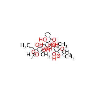 CCCC(=O)c1c(O)c(Cc2c(O)c(Cc3c(O)c(C)c(OC)c(C(=O)CCC)c3O)c(O)c(C(=O)C3CCCCC3)c2O)c(O)c(C)c1OC